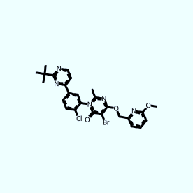 COc1cccc(COc2nc(C)n(-c3cc(-c4ccnc(C(C)(C)C)n4)ccc3Cl)c(=O)c2Br)n1